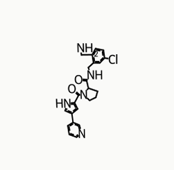 NCc1ccc(Cl)cc1CNC(=O)C1CCCN1C(=O)c1cc(-c2cccnc2)c[nH]1